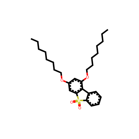 CCCCCCCCOc1cc(OCCCCCCCC)c2c(c1)S(=O)(=O)c1ccccc1-2